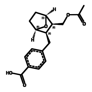 CC(=O)OC[C@H]1[C@@H](Cc2ccc(C(=O)O)cc2)[C@H]2CC[C@@H]1O2